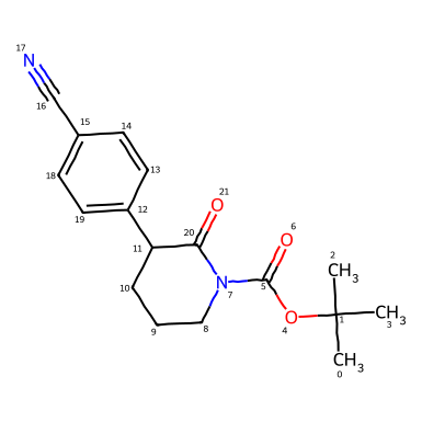 CC(C)(C)OC(=O)N1CCCC(c2ccc(C#N)cc2)C1=O